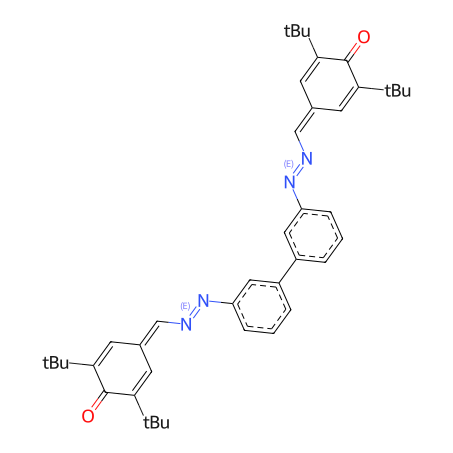 CC(C)(C)C1=CC(=C/N=N/c2cccc(-c3cccc(/N=N/C=C4C=C(C(C)(C)C)C(=O)C(C(C)(C)C)=C4)c3)c2)C=C(C(C)(C)C)C1=O